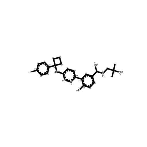 CC(C)(O)CNC(O)c1ccc(F)c(-c2ccc(NC3(c4ccc(F)cc4)CCC3)nn2)c1